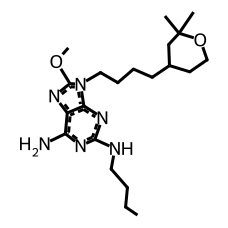 CCCCNc1nc(N)c2nc(OC)n(CCCCC3CCOC(C)(C)C3)c2n1